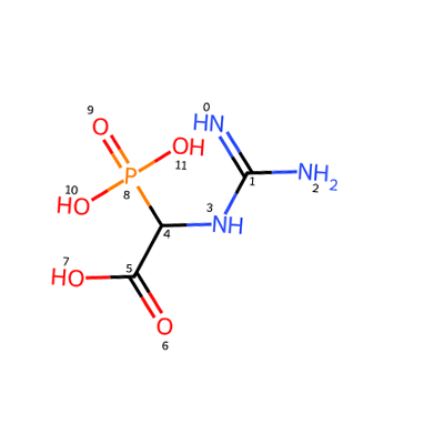 N=C(N)NC(C(=O)O)P(=O)(O)O